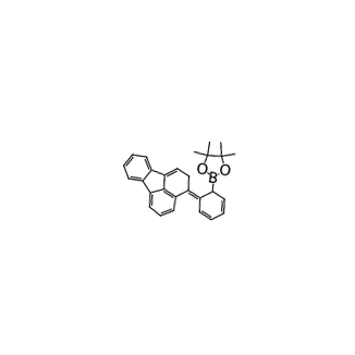 CC1(C)OB(C2C=CC=CC2=C2CC=C3c4ccccc4-c4cccc2c43)OC1(C)C